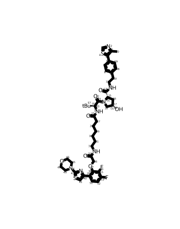 Cc1ncsc1-c1ccc(CCNC(=O)[C@@H]2C[C@H](O)CN2C(=O)[C@@H](NC(=O)CCCCCCNC(=O)COc2c(-c3csc(N4CCOCC4)n3)ccc(F)c2F)C(C)(C)C)cc1